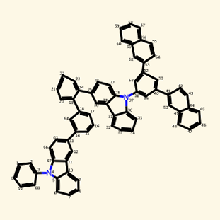 c1ccc(-n2c3ccccc3c3cc(-c4cccc(-c5ccccc5-c5ccc6c(c5)c5ccccc5n6-c5cc(-c6ccc7ccccc7c6)cc(-c6ccc7ccccc7c6)c5)c4)ccc32)cc1